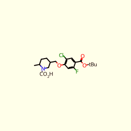 CC1CCC(COc2cc(F)c(C(=O)OC(C)(C)C)cc2Cl)CN1C(=O)O